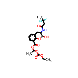 CCOC(=O)OC(C)OC(=O)c1cccc2c1OB(O)C(NC(=O)CC(C)(F)F)C2